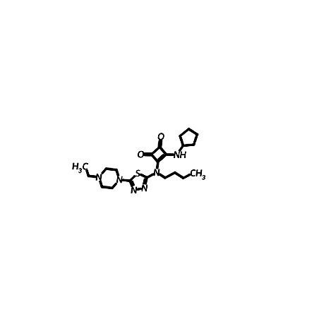 CCCCN(c1nnc(N2CCN(CC)CC2)s1)c1c(NC2CCCC2)c(=O)c1=O